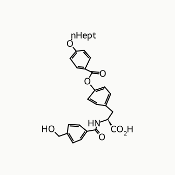 CCCCCCCOc1ccc(C(=O)Oc2ccc(C[C@H](NC(=O)c3ccc(CO)cc3)C(=O)O)cc2)cc1